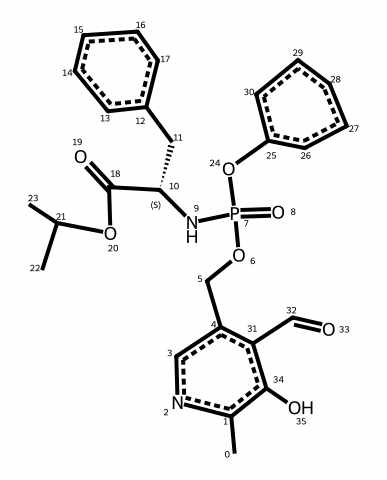 Cc1ncc(COP(=O)(N[C@@H](Cc2ccccc2)C(=O)OC(C)C)Oc2ccccc2)c(C=O)c1O